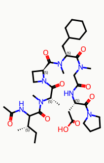 CC[C@H](C)C(NC(C)=O)C(=O)N(C)[C@@H](C)C(=O)N1CC[C@H]1C(=O)N(C)[C@@H](CC1CCCCC1)C(=O)N(C)CC(=O)N[C@@H](CC(=O)O)C(=O)N1CCCC1